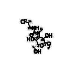 CO[C@H]1O[C@H](CO)[C@@H](O)[C@@H](N(C)C(=O)NCCCl)[C@H]1O